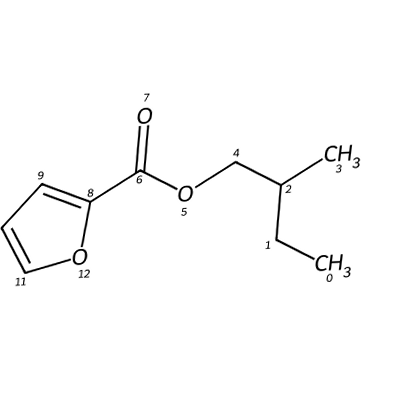 CCC(C)COC(=O)c1ccco1